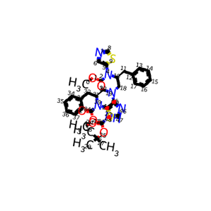 COC(=O)N(c1cncs1)[C@@H](Cc1ccccc1)CN(CCNC(=O)OC(C)(C)C)C[C@H](Cc1ccccc1)N(C(=O)OC)c1cncs1